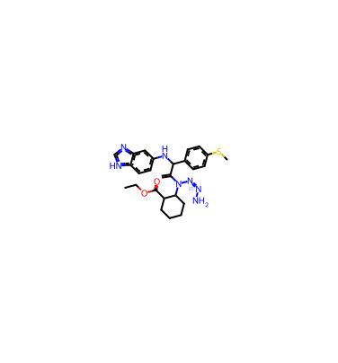 C=C(C(Nc1ccc2[nH]cnc2c1)c1ccc(SC)cc1)N(/N=N\N)C1CCCCC1C(=O)OCC